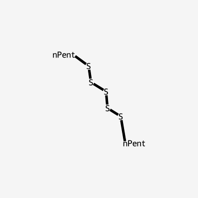 CCCCCSSSSSCCCCC